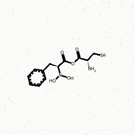 N[C@@H](CS)C(=O)OC(=O)[C@H](Cc1ccccc1)N(O)O